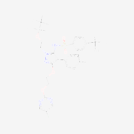 Cc1ccc(-c2c(OCCOc3ncc(Cl)cn3)nn(CCO[Si](C)(C)C(C)(C)C)c2NS(=O)(=O)c2ccc(C(C)(C)C)cc2)cc1